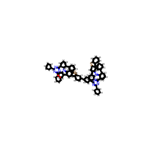 c1ccc(-c2nc(-c3ccccc3)nc(-c3cccc(-c4ccccc4)c3-n3c4ccccc4c4cc5c(cc43)sc3cc(-c4ccc(-c6nc(-c7ccccc7)nc(-c7cccc(-c8ccccc8)c7-n7c8ccccc8c8cc9sc%10ccccc%10c9cc87)n6)cc4)ccc35)n2)cc1